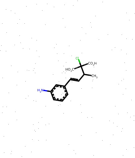 CC(C=Cc1cccc(N)c1)C(Cl)(C(=O)O)C(=O)O